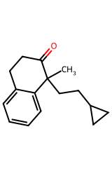 CC1(CCC2CC2)C(=O)CCc2ccccc21